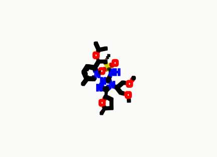 COCC(COC)n1c(NS(=O)(=O)[C@@H](C)[C@@H](OC(C)C)c2ccc(C)cn2)nnc1[C@H]1CC[C@@H](C)O1